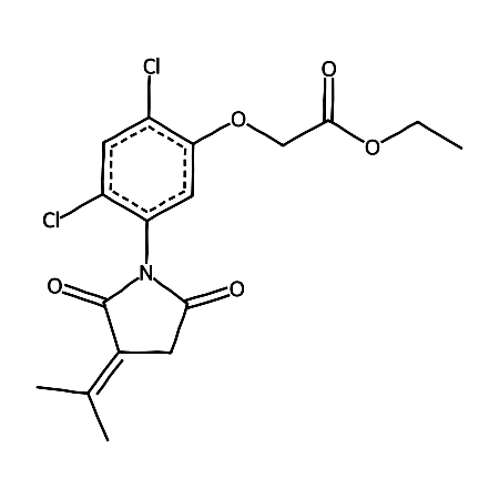 CCOC(=O)COc1cc(N2C(=O)CC(=C(C)C)C2=O)c(Cl)cc1Cl